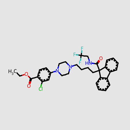 CCOC(=O)c1ccc(N2CCN(CCCCC3(C(=O)NCC(F)(F)F)c4ccccc4-c4ccccc43)CC2)cc1Cl